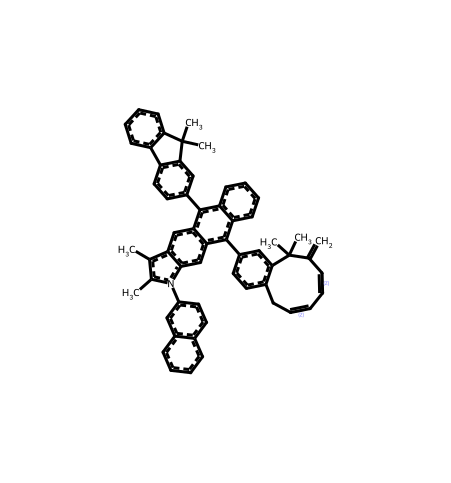 C=C1/C=C\C=C/Cc2ccc(-c3c4ccccc4c(-c4ccc5c(c4)C(C)(C)c4ccccc4-5)c4cc5c(C)c(C)n(-c6ccc7ccccc7c6)c5cc34)cc2C1(C)C